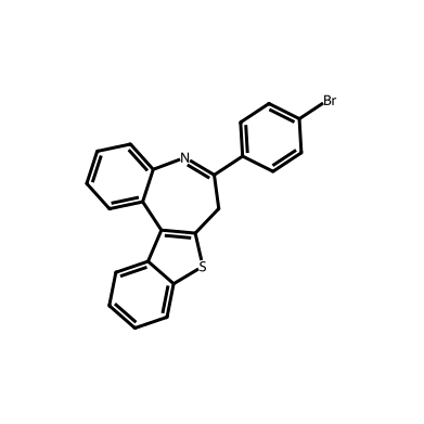 Brc1ccc(C2=Nc3ccccc3-c3c(sc4ccccc34)C2)cc1